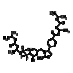 CC(C)OC(=O)OC(C)OC(=O)c1ccc(-c2csc(=N)n2Cc2ccc(C(F)(F)P(=O)(O)OC(C)OC(=O)OC(C)C)c(Br)c2)cc1